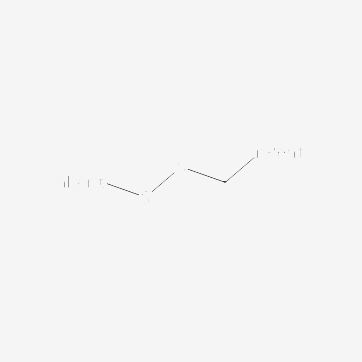 CCCCCCSSCCCCC